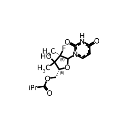 CC(C)C(=O)OC[C@H]1OC(n2ccc(=O)[nH]c2=O)[C@](C)(F)C1(C)O